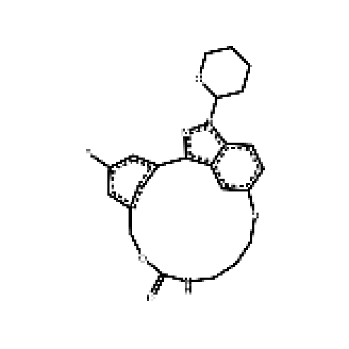 O=C1NCCCOc2ccc3c(c2)c(nn3C2CCCCO2)-c2cc(F)cc(c2)CO1